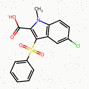 Cn1c(C(=O)O)c(S(=O)(=O)c2ccccc2)c2cc(Cl)ccc21